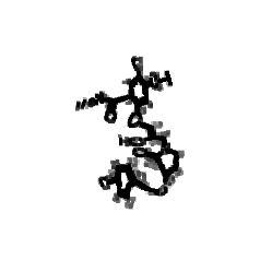 CNC(=O)c1cc(Cl)c(O)cc1OC[C@H](O)CN1CCC(Oc2ccc(Cl)cc2)C1=O